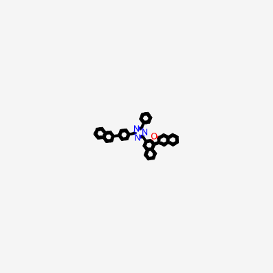 c1ccc(-c2nc(-c3ccc(-c4ccc5ccccc5c4)cc3)nc(-c3cc4ccccc4c4c3oc3cc5ccccc5cc34)n2)cc1